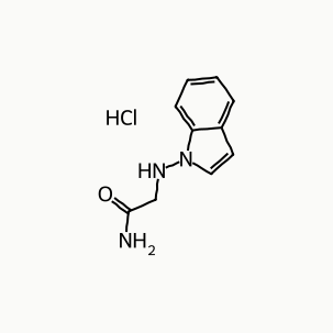 Cl.NC(=O)CNn1ccc2ccccc21